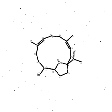 CC1=CCC2(C(C)C)CCC(C)(O2)C(Br)CCC(C)=CCC1